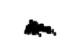 CC(=O)N1CCC(NC(=O)N2C[C@@H](N(C)C(=O)N(C)c3cc(C(F)(F)F)cc(C(F)(F)F)c3)[C@H](c3ccc(F)cc3)C2)CC1